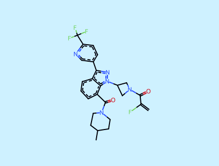 C=C(F)C(=O)N1CC(n2nc(-c3ccc(C(F)(F)F)nc3)c3cccc(C(=O)N4CCC(C)CC4)c32)C1